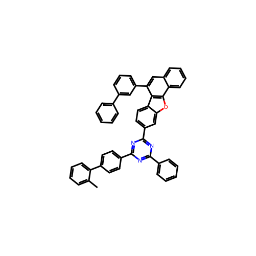 Cc1ccccc1-c1ccc(-c2nc(-c3ccccc3)nc(-c3ccc4c(c3)oc3c5ccccc5cc(-c5cccc(-c6ccccc6)c5)c43)n2)cc1